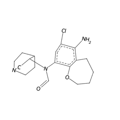 Nc1c(Cl)cc(N(C=O)C2CN3CCC2CC3)c2c1CCCCO2